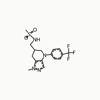 Cn1ncc2c1CC(CNS(C)(=O)=O)CN2c1ccc(C(F)(F)F)cc1